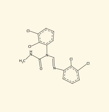 CNC(=O)N(C=Nc1cccc(Cl)c1Cl)c1cccc(Cl)c1Cl